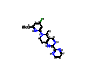 COc1cc(F)cc(N2CCc3nc(-c4ncccn4)ncc3C2C)n1